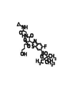 CC1(C)OB(c2cc3sc(C(C(=O)NCC(=O)NC4CC4)S(=O)(=O)CCCO)nc3cc2F)OC1(C)C